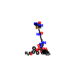 COc1ccc(C(OC[C@H]2O[C@@H](n3ccc(NCCCCCCNC(=O)CCCC[C@@H]4SC[C@@H]5NC(=O)N[C@@H]54)nc3=O)[C@H](O)[C@@H]2O[Si](C)(C)C(C)(C)C)(c2ccccc2)c2ccccc2)cc1